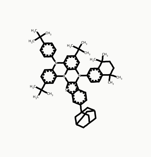 CC(C)(C)c1ccc(N2c3ccc(C(C)(C)C)cc3B3c4sc5cc(C67CC8CC(CC(C8)C6)C7)ccc5c4N(c4ccc5c(c4)C(C)(C)CCC5(C)C)c4cc(C(C)(C)C)cc2c43)cc1